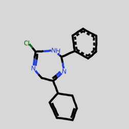 ClC1=NCC(C2C=CC=CC2)=NC(c2ccccc2)N1